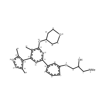 CNCC(O)COc1cccc(-c2nc(OC3CCOCC3)c(C)c(-c3c(C)noc3C)n2)c1